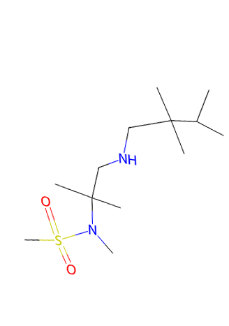 CC(C)C(C)(C)CNCC(C)(C)N(C)S(C)(=O)=O